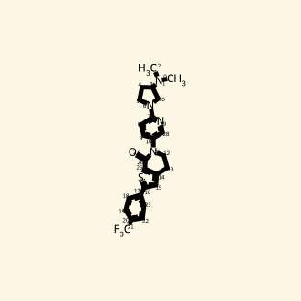 CN(C)C1CCN(c2ccc(N3CCc4cc(-c5ccc(C(F)(F)F)cc5)sc4C3=O)cn2)C1